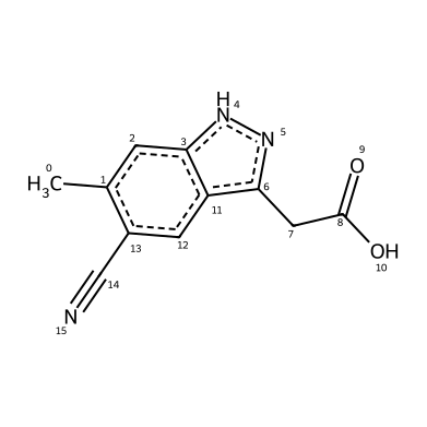 Cc1cc2[nH]nc(CC(=O)O)c2cc1C#N